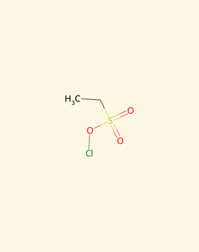 CCS(=O)(=O)OCl